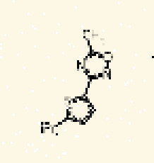 Cc1nc(-c2ccc(C(C)C)s2)no1